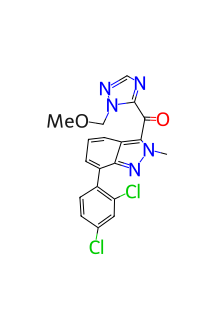 COCn1ncnc1C(=O)c1c2cccc(-c3ccc(Cl)cc3Cl)c2nn1C